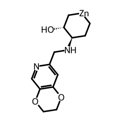 O[C@@H]1[CH2][Zn][CH2]C[C@H]1NCc1cc2c(cn1)OCCO2